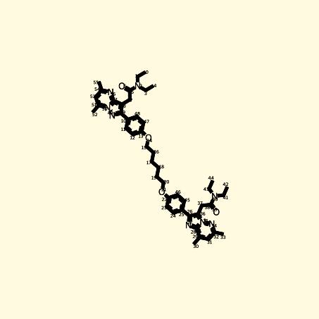 CCN(CC)C(=O)Cc1c(-c2ccc(OCCCCCCOc3ccc(-c4nc5c(C)cc(C)nn5c4CC(=O)N(CC)CC)cc3)cc2)nn2c(C)cc(C)nc12